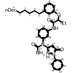 CCCCCCCCCCCCCCCc1cccc(OC(CC)C(=O)Nc2cccc(N(C(N)=O)c3cc(=O)n(-c4ccccc4)[nH]3)c2)c1